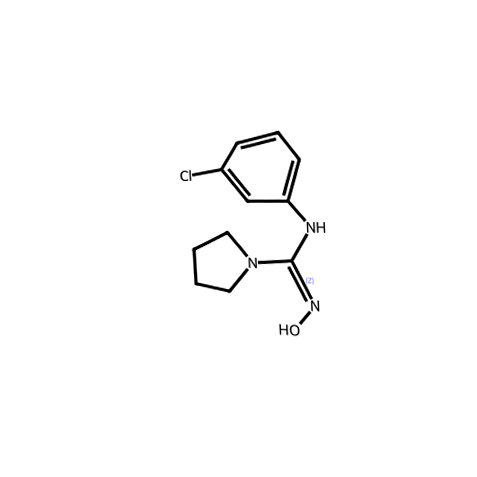 O/N=C(/Nc1cccc(Cl)c1)N1CCCC1